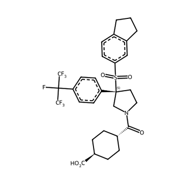 O=C(O)[C@H]1CC[C@H](C(=O)N2CC[C@@](c3ccc(C(F)(C(F)(F)F)C(F)(F)F)cc3)(S(=O)(=O)c3ccc4c(c3)CCC4)C2)CC1